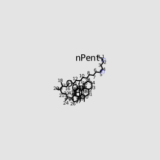 CCCCC/C=C\C/C=C\CCCCCCCC(=O)OCC(C)C(C)CCC(C)[C@H]1CC[C@H]2[C@@H]3CCC4CCCC[C@]4(C)[C@H]3CC[C@]12C